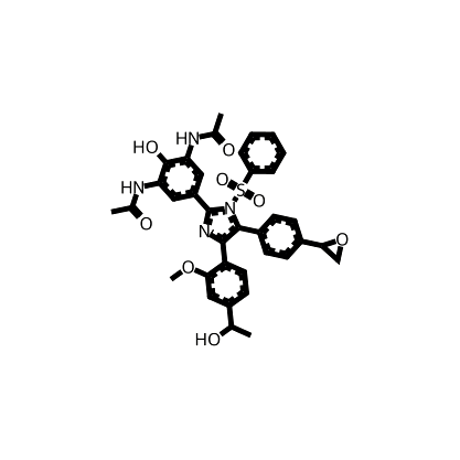 COc1cc(C(C)O)ccc1-c1nc(-c2cc(NC(C)=O)c(O)c(NC(C)=O)c2)n(S(=O)(=O)c2ccccc2)c1-c1ccc(C2CO2)cc1